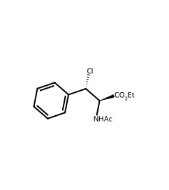 CCOC(=O)[C@@H](NC(C)=O)[C@@H](Cl)c1ccccc1